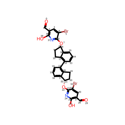 O=Cc1cc(Br)c(O[C@H]2CCc3c(-c4cccc5c4CC[C@@H]5Oc4nc(O)c(C=O)cc4Br)cccc32)nc1O